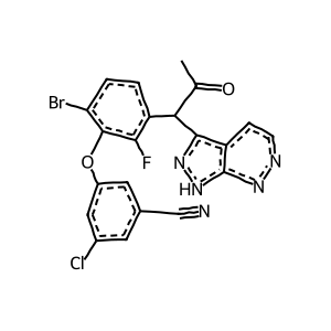 CC(=O)C(c1ccc(Br)c(Oc2cc(Cl)cc(C#N)c2)c1F)c1n[nH]c2nnccc12